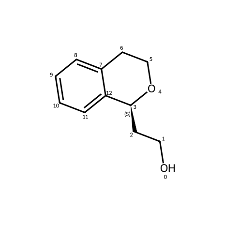 OCC[C@@H]1OCCc2ccccc21